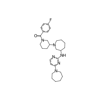 O=C(c1ccc(F)cc1)N1CCCC(N2CCCCC(Nc3nccc(N4CCCCCC4)n3)C2)C1